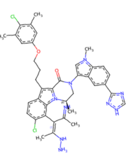 CC(=N)/C(=C(/C)NN)c1c(Cl)ccc2c(CCCOc3cc(C)c(Cl)c(C)c3)c3n(c12)[C@H](C)CN(c1cn(C)c2ccc(-c4nc[nH]n4)cc12)C3=O